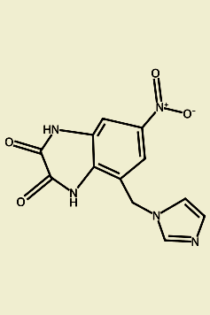 O=c1[nH]c2cc([N+](=O)[O-])cc(Cn3ccnc3)c2[nH]c1=O